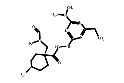 CCc1nc(NNC(=O)[C@]2(CN(O)C=O)CC[C@@H](C)CC2)nc(N(C)C)n1